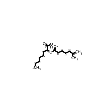 CCCCCCC(OC(=O)CCCCC(C)C)C(=O)O